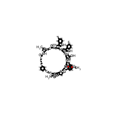 CCC[C@@H]1NC(=O)CCSCc2cccc(c2)CSC[C@@H](C(N)=O)NC(=O)[C@]2(C)CCCN2C(=O)[C@H](Cc2ccc(OC)cc2)NC(=O)[C@H](Cc2cnc[nH]2)NC(=O)[C@H](CC(=O)O)NC(=O)[C@H](Cc2c[nH]c3ccc(F)cc23)NC(=O)[C@H](Cc2c[nH]c3ccc(I)cc23)NC(=O)CNC1=O